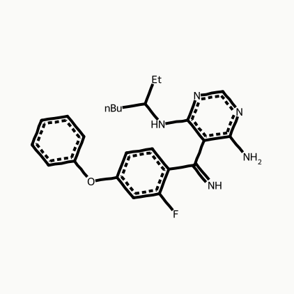 CCCCC(CC)Nc1ncnc(N)c1C(=N)c1ccc(Oc2ccccc2)cc1F